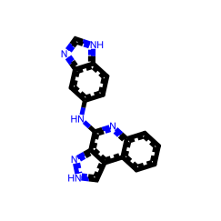 c1ccc2c(c1)nc(Nc1ccc3[nH]cnc3c1)c1n[nH]cc12